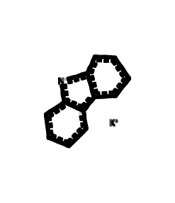 [K+].c1ccc2c(c1)[n-]c1ccccc12